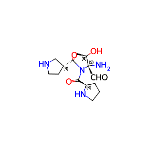 C[C@@H](O)[C@@](N)(C=O)N(C(=O)[C@@H]1CCNC1)C(=O)[C@H]1CCCN1